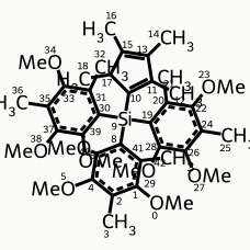 COc1c(C)c(OC)c(OC)c([Si](C2=C(C)C(C)=C(C)C2C)(c2c(C)c(OC)c(C)c(OC)c2OC)c2c(C)c(OC)c(C)c(OC)c2OC)c1C